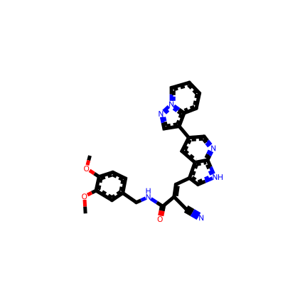 COc1ccc(CNC(=O)/C(C#N)=C/c2c[nH]c3ncc(-c4cnn5ccccc45)cc23)cc1OC